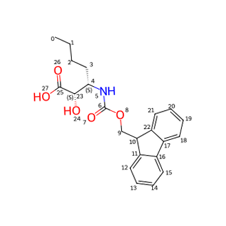 CCCC[C@H](NC(=O)OCC1c2ccccc2-c2ccccc21)[C@H](O)C(=O)O